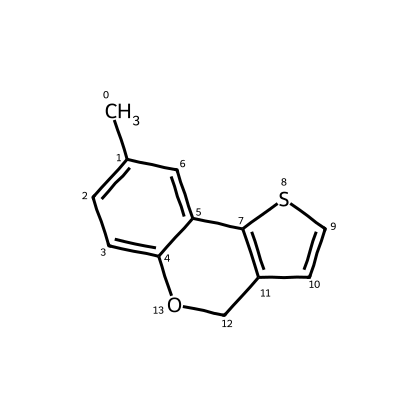 Cc1ccc2c(c1)-c1sccc1CO2